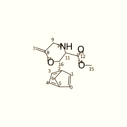 C1=CC2=CC=C1C2.C=C1CNC(C(=O)OC)CO1